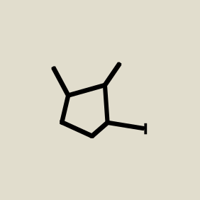 CC1CCC(I)C1C